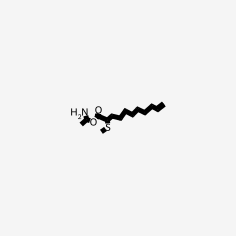 C=CCCCCCCCC(SC)C(=O)OC(C)N